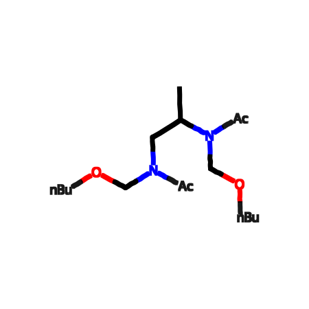 CCCCOCN(CC(C)N(COCCCC)C(C)=O)C(C)=O